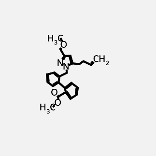 C=CCCc1cc(COC)nn1Cc1ccccc1-c1ccccc1C(=O)OC